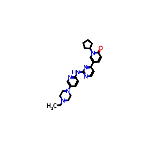 CCN1CCN(c2ccc(Nc3nccc(-c4ccc(=O)n(C5CCCC5)c4)n3)nc2)CC1